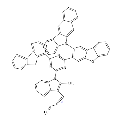 C=C/C=C\c1c(C)n(-c2nc(-c3cc4oc5ccccc5c4cc3-n3c4ccccc4c4cc5ccccc5cc43)nc(-c3cccc4c3oc3ccccc34)n2)c2ccccc12